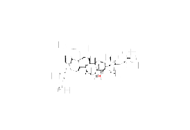 COCNCC[C@]12CC[C@@H](C(C)C)[C@@H]1[C@H]1CC[C@@H]3[C@@]4(C)CC[C@H](OC(=O)CC(C)(C)C(=O)O)C(C)(C)[C@@H]4CC[C@@]3(C)[C@]1(C)CC2